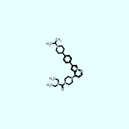 CCN(CC)C(=O)N1CCN(c2ccnn3cc(-c4ccc(C5CCN(C(C)C)CC5)cc4)cc23)CC1